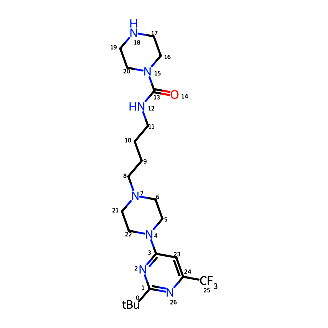 CC(C)(C)c1nc(N2CCN(CCCCNC(=O)N3CCNCC3)CC2)cc(C(F)(F)F)n1